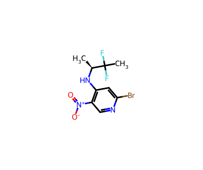 C[C@H](Nc1cc(Br)ncc1[N+](=O)[O-])C(C)(F)F